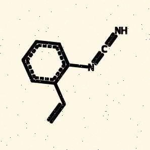 C=Cc1ccccc1N=C=N